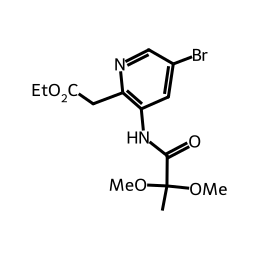 CCOC(=O)Cc1ncc(Br)cc1NC(=O)C(C)(OC)OC